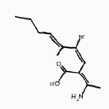 CCC/C=C(C)/C(Br)=C\C(C(=O)O)=C(/C)N